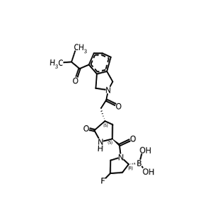 CC(C)C(=O)c1cccc2c1CN(C(=O)C[C@@H]1C[C@@H](C(=O)N3CC(F)C[C@H]3B(O)O)NC1=O)C2